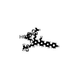 C=C(C)C(=O)OCCCc1cc(-c2ccc(-c3ccc(C4CCC(C)CC4)cc3)cc2CC)cc(CCCOC(=O)C(=C)C)c1OCCC(CO)(CO)COC